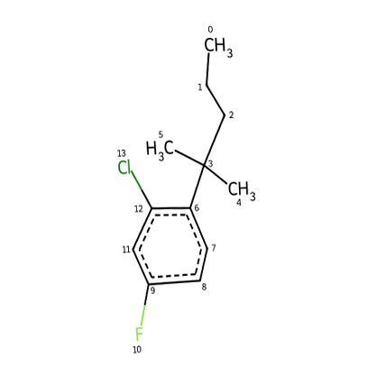 CCCC(C)(C)c1ccc(F)cc1Cl